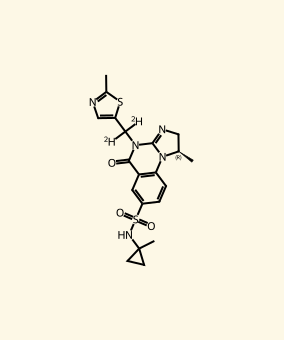 [2H]C([2H])(c1cnc(C)s1)N1C(=O)c2cc(S(=O)(=O)NC3(C)CC3)ccc2N2C1=NC[C@H]2C